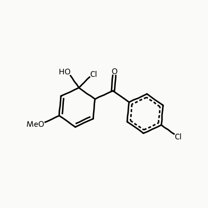 COC1=CC(O)(Cl)C(C(=O)c2ccc(Cl)cc2)C=C1